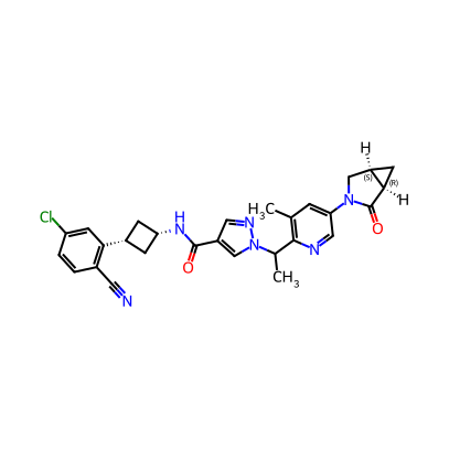 Cc1cc(N2C[C@H]3C[C@H]3C2=O)cnc1C(C)n1cc(C(=O)N[C@H]2C[C@@H](c3cc(Cl)ccc3C#N)C2)cn1